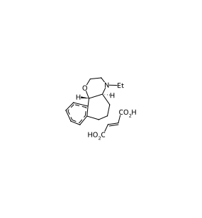 CCN1CCO[C@H]2c3ccccc3CCC[C@@H]21.O=C(O)C=CC(=O)O